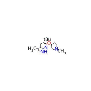 Cc1c[nH]c2nc(OC3CCN(C)CC3)c(C(C)(C)C)cc12